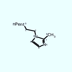 CCCCCCCn1c[c]nc1C